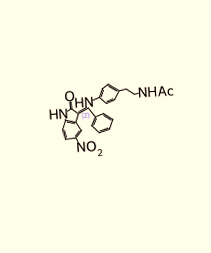 CC(=O)NCCc1ccc(N/C(=C2\C(=O)Nc3ccc([N+](=O)[O-])cc32)c2ccccc2)cc1